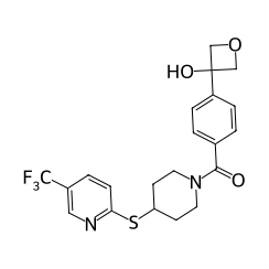 O=C(c1ccc(C2(O)COC2)cc1)N1CCC(Sc2ccc(C(F)(F)F)cn2)CC1